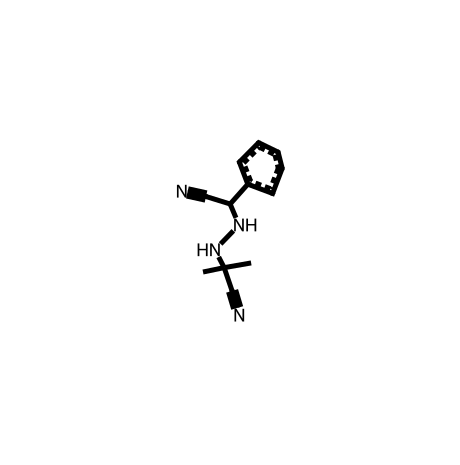 CC(C)(C#N)NNC(C#N)c1ccccc1